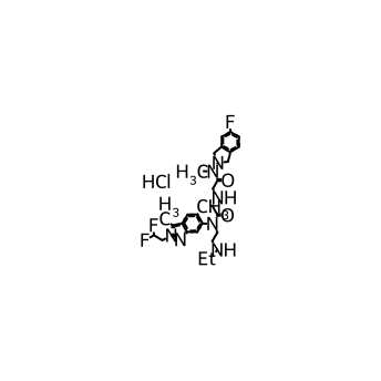 CCNCCN(C(=O)CNCC(=O)N(C)N1Cc2ccc(F)cc2C1)c1cc2nn(CC(F)F)c(C)c2cc1C.Cl